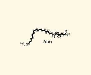 CCCCCCCC/C=C\CCCCCCCCNOC(=O)CCC(=O)O.[NaH]